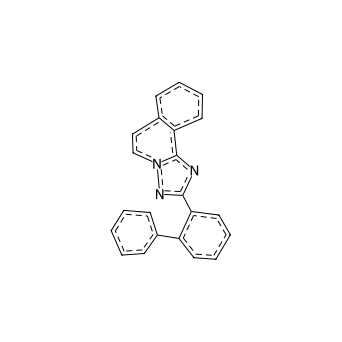 c1ccc(-c2ccccc2-c2nc3c4ccccc4ccn3n2)cc1